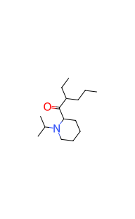 CCCC(CC)C(=O)C1CCCCN1C(C)C